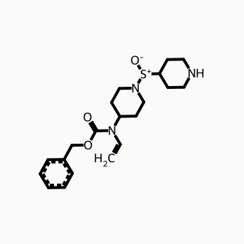 C=CN(C(=O)OCc1ccccc1)C1CCN([S+]([O-])C2CCNCC2)CC1